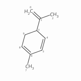 C=C(C)C1C=CC(C)=CC1